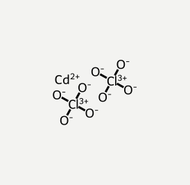 [Cd+2].[O-][Cl+3]([O-])([O-])[O-].[O-][Cl+3]([O-])([O-])[O-]